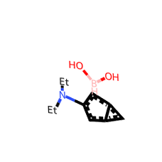 CCN(CC)c1cc2cc-2c1.OBO